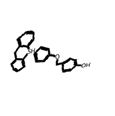 Oc1ccc(COc2ccc([SH]3c4ccccc4Cc4ccccc43)cc2)cc1